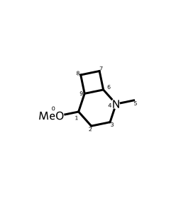 COC1CCN(C)C2CCC12